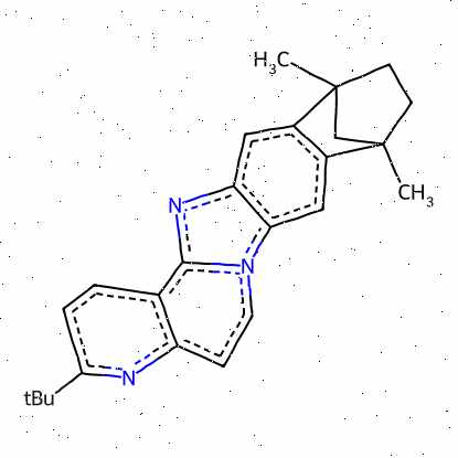 CC(C)(C)c1ccc2c(ccn3c4cc5c(cc4nc23)C2(C)CCC5(C)C2)n1